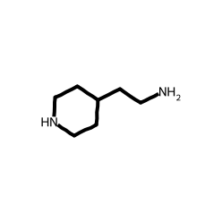 NCCC1CCNCC1